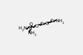 NCCOCCOCCOCCOCCC(=O)N(CCN)CCN